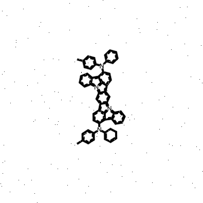 Cc1ccc(N(C2=CC=CCC2)c2ccc3c4cc5c(cc4n4c6ccccc6c2c34)c2ccc(N(c3ccccc3)c3ccc(C)cc3)c3c4ccccc4n5c23)cc1